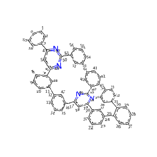 c1ccc(-c2cc(-c3cccc(-c4cccc(-c5cc(-c6cccc(-c7ccccc7-c7ccccc7)c6)nc(-c6ccccc6)n5)c4)c3)nc(-c3ccccc3)n2)cc1